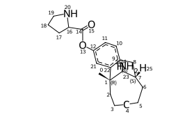 C[C@@]12CCCCC[C@@H](Cc3ccc(OC(=O)C4CCCN4)cc31)[C@@H]2N